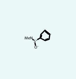 CN[S+]([O-])c1cc[c]cc1